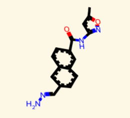 Cc1cc(NC(=O)c2ccc3cc(C=NN)ccc3c2)no1